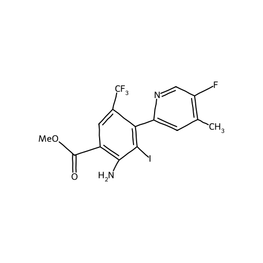 COC(=O)c1cc(C(F)(F)F)c(-c2cc(C)c(F)cn2)c(I)c1N